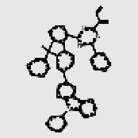 C=CC(=C)c1nc(-c2ccccc2)nc(-c2cccc3c2-c2ccc(-c4ccc5c(c4)c4ccccc4n5-c4ccccc4)cc2C3(C)c2ccccc2)n1